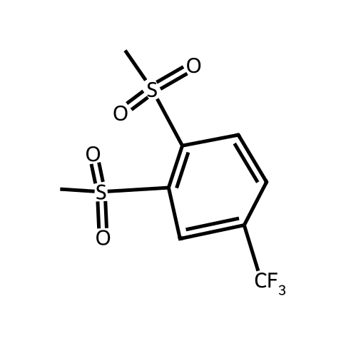 CS(=O)(=O)c1ccc(C(F)(F)F)cc1S(C)(=O)=O